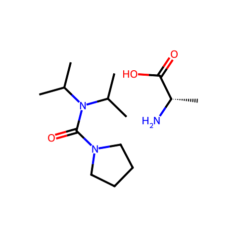 CC(C)N(C(=O)N1CCCC1)C(C)C.C[C@H](N)C(=O)O